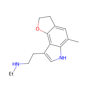 CCNCCc1c[nH]c2c(C)cc3c(c12)OCC3